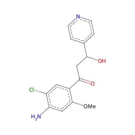 COc1cc(N)c(Cl)cc1C(=O)CC(O)c1ccncc1